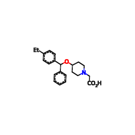 CCc1ccc(C(OC2CCN(CC(=O)O)CC2)c2ccccc2)cc1